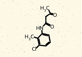 CC(=O)CC(=O)Nc1cccc(Cl)c1C